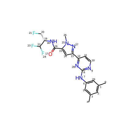 Cc1cc(C)cc(Nc2nccc(-c3cc(C(=O)N[C@@H](CF)C(F)F)n(C)n3)n2)c1